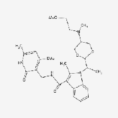 COCCN(C)C1COC(C(C)n2c(C)c(C(=O)NCc3c(SC)cc(C)[nH]c3=O)c3ccccc32)OC1